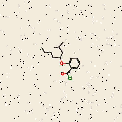 CCCCC(CC(C)C)Oc1ccccc1C(=O)Cl